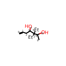 C=CCC(O)C(CC)(CC)C(C)O